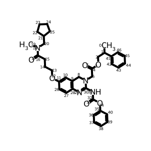 CC(COC(=O)CN1Cc2cc(OCCCC(=O)N(C)CC3CCCC3)ccc2N=C1NC(=O)Oc1ccccc1)c1ccccc1